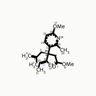 C=C(C)C[C@@](CC(=O)OC)(/C(=C/C)CC)c1ccc(OC)nc1C